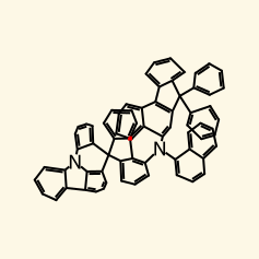 c1ccc(C2(c3ccccc3)c3ccccc3-c3c2cc(N(c2cccc4c2-c2ccccc2C42c4ccccc4-n4c5ccccc5c5cccc2c54)c2cccc4ccccc24)c2ccccc32)cc1